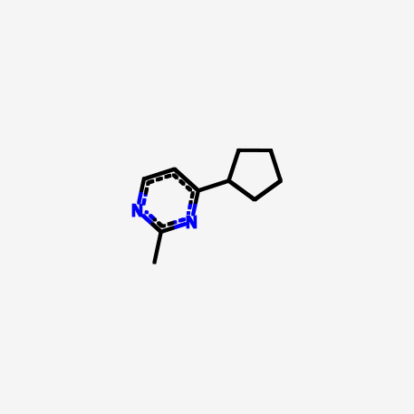 Cc1nccc(C2CCCC2)n1